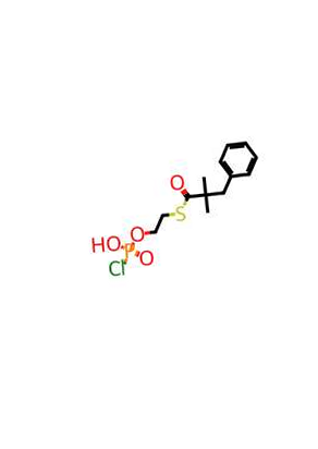 CC(C)(Cc1ccccc1)C(=O)SCCOP(=O)(O)Cl